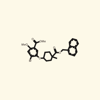 COC(=O)c1cc(OC2CCC(C)(C(=O)OCc3cccc4ccccc34)CC2)c(Br)cc1OC